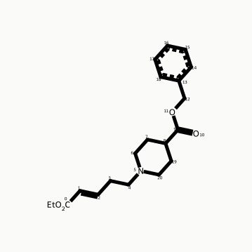 CCOC(=O)C=CCCN1CCC(C(=O)OCc2ccccc2)CC1